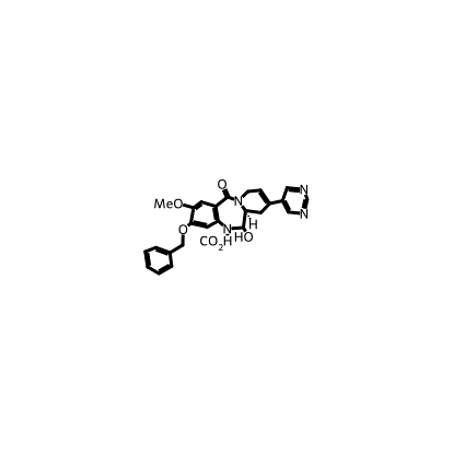 COc1cc2c(cc1OCc1ccccc1)N(C(=O)O)C(O)[C@@H]1CC(c3cncnc3)=CCN1C2=O